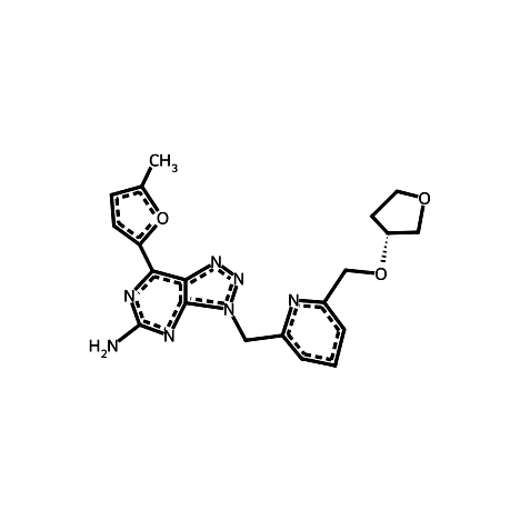 Cc1ccc(-c2nc(N)nc3c2nnn3Cc2cccc(CO[C@@H]3CCOC3)n2)o1